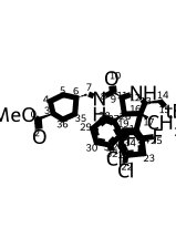 COC(=O)[C@H]1CC[C@H](CNC(=O)[C@@H]2N[C@@H](CC(C)(C)C)[C@](C)(c3ccc(Cl)cc3F)[C@H]2c2cccc(Cl)c2F)CC1